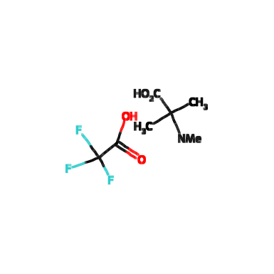 CNC(C)(C)C(=O)O.O=C(O)C(F)(F)F